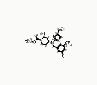 CC[C@@H]1C[C@H](N(Cc2cc(Cl)cc(C(F)(F)F)c2)c2nc(CO)co2)CCN1C(=O)OC(C)(C)C